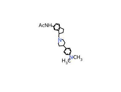 CC(=O)Nc1ccc2c(c1)C(CN1CCC(c3ccc(N(C)C)cc3)CC1)CC2